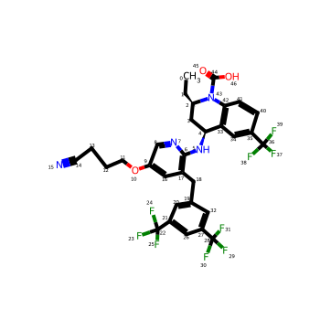 CC[C@@H]1C[C@H](Nc2ncc(OCCCC#N)cc2Cc2cc(C(F)(F)F)cc(C(F)(F)F)c2)c2cc(C(F)(F)F)ccc2N1C(=O)O